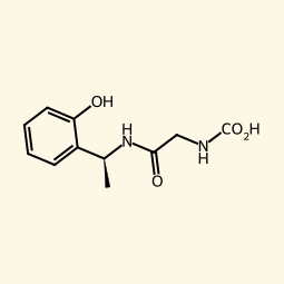 C[C@H](NC(=O)CNC(=O)O)c1ccccc1O